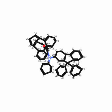 c1ccc(N(c2cccc3c2-c2cccc4c2-c2ccccc2-c2cccc-4c2-3)C2CCC3c4ccccc4C(c4ccccc4)(c4ccccc4)C3C2)cc1